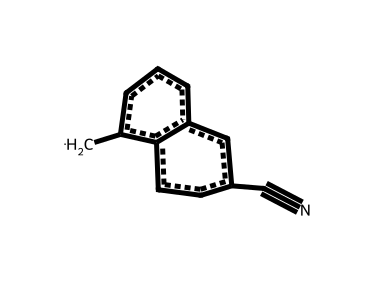 [CH2]c1cccc2cc(C#N)ccc12